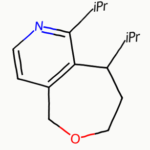 CC(C)c1nccc2c1C(C(C)C)CCOC2